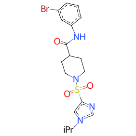 CC(C)n1cnc(S(=O)(=O)N2CCC(C(=O)Nc3cccc(Br)c3)CC2)c1